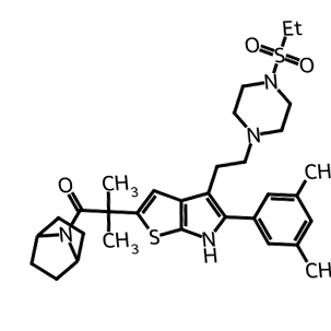 CCS(=O)(=O)N1CCN(CCc2c(-c3cc(C)cc(C)c3)[nH]c3sc(C(C)(C)C(=O)N4C5CCC4CC5)cc23)CC1